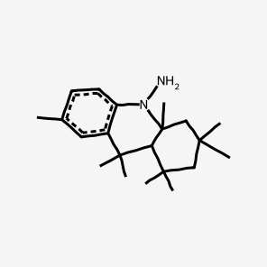 Cc1ccc2c(c1)C(C)(C)C1C(C)(C)CC(C)(C)CC1(C)N2N